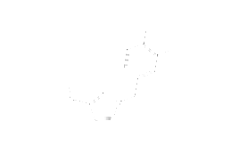 CNc1cnn(Cc2cc(F)c(F)c(F)c2)c1.Cl